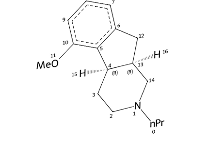 CCCN1CC[C@H]2c3c(cccc3OC)C[C@H]2C1